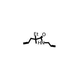 C=CCNC(=O)C(C)(CC)CC=C